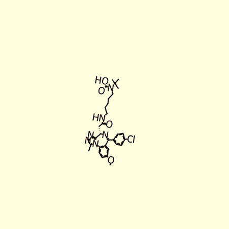 COc1ccc2c(c1)C(c1ccc(Cl)cc1)=N[C@@H](CC(=O)NCCCCCN(C(=O)O)C(C)(C)C)c1nnc(C)n1-2